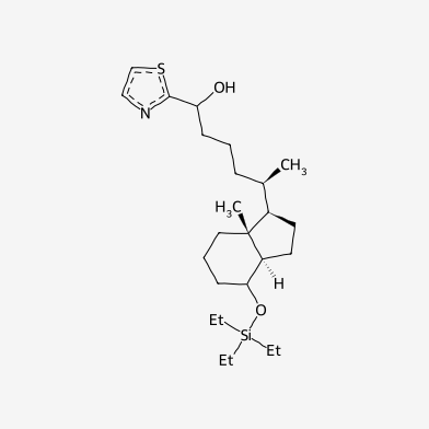 CC[Si](CC)(CC)OC1CCC[C@]2(C)[C@@H]([C@H](C)CCCC(O)c3nccs3)CC[C@@H]12